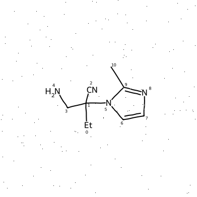 CCC(C#N)(CN)n1ccnc1C